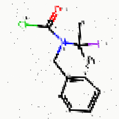 CCCC(C)(I)N(Cc1ccccc1)C(=O)Cl